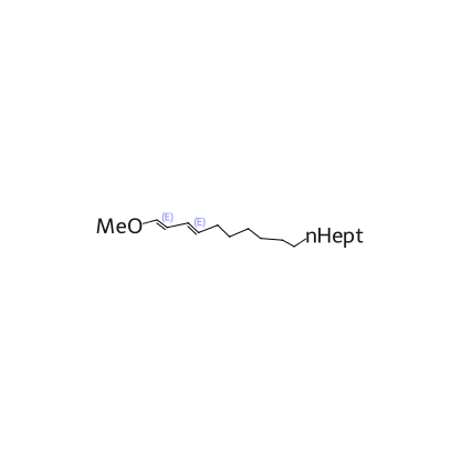 [CH2]O/C=C/C=C/CCCCCCCCCCCCC